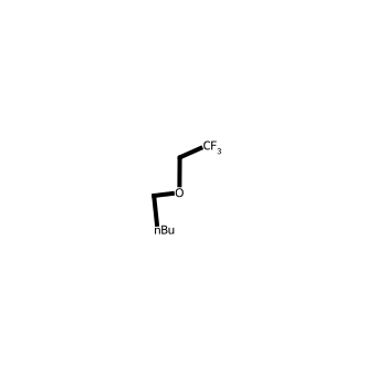 CCCCCOCC(F)(F)F